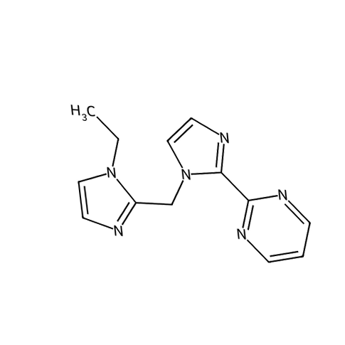 CCn1ccnc1Cn1ccnc1-c1ncccn1